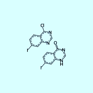 Clc1ncnc2cc(I)ccc12.O=c1nc[nH]c2cc(I)ccc12